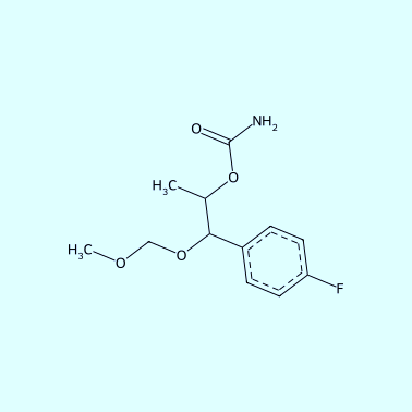 COCOC(c1ccc(F)cc1)C(C)OC(N)=O